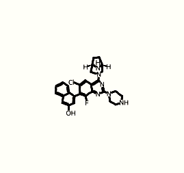 Oc1cc(-c2c(Cl)cc3c(N4C[C@H]5CC[C@@H](C4)N5)nc(N4CCNCC4)nc3c2F)c2ccccc2c1